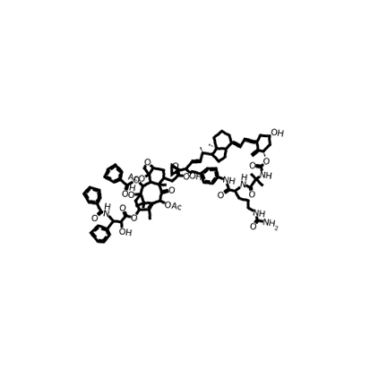 C=C1/C(=C\C=C2/CCC[C@@]3(C)C2CCC3[C@@H](C)/C=C/C(O)C2CC2)C[C@@H](O)C[C@@H]1OC(=O)NC(C)(C)C(=O)NC(CCCNC(N)=O)C(=O)Nc1ccc(COC(=O)CC2CC3OCC3(OC(C)=O)C3C(OC(=O)c4ccccc4)C4(O)CC(OC(=O)C(O)C(NC(=O)c5ccccc5)c5ccccc5)C(C)=C(C(OC(C)=O)C(=O)C23C)C4(C)C)cc1